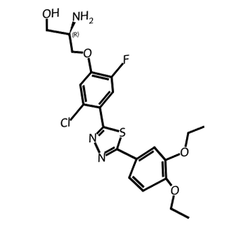 CCOc1ccc(-c2nnc(-c3cc(F)c(OC[C@H](N)CO)cc3Cl)s2)cc1OCC